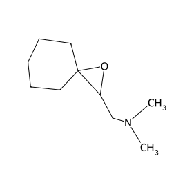 CN(C)CC1OC12CCCCC2